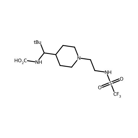 CC(C)(C)C(NC(=O)O)C1CCN(CCNS(=O)(=O)C(F)(F)F)CC1